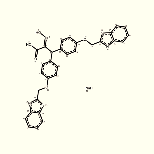 O=C(O)/C(=N\O)C(c1ccc(OCc2nc3ccccc3s2)cc1)c1ccc(OCc2nc3ccccc3s2)cc1.[NaH]